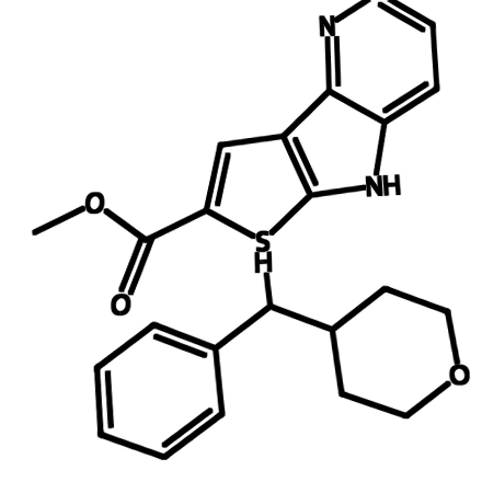 COC(=O)C1=Cc2c([nH]c3cccnc23)[SH]1C(c1ccccc1)C1CCOCC1